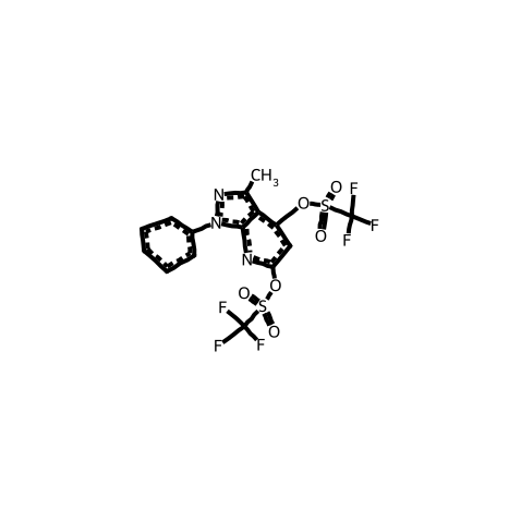 Cc1nn(-c2ccccc2)c2nc(OS(=O)(=O)C(F)(F)F)cc(OS(=O)(=O)C(F)(F)F)c12